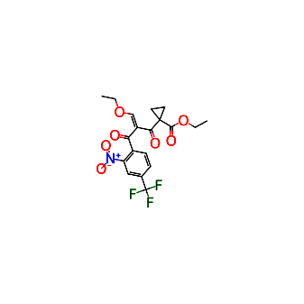 CCO/C=C(\C(=O)c1ccc(C(F)(F)F)cc1[N+](=O)[O-])C(=O)C1(C(=O)OCC)CC1